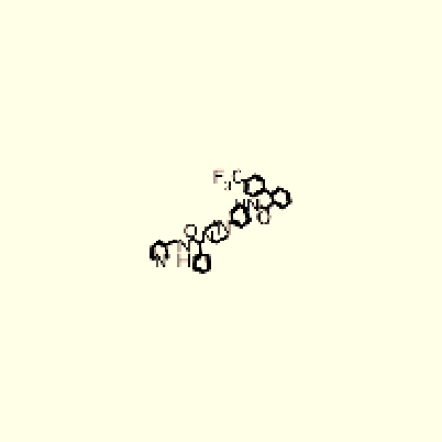 O=C(Nc1ccc(N2CCN(C(C(=O)NCc3cccnc3)c3ccccc3)CC2)cc1)c1ccccc1-c1ccc(C(F)(F)F)cc1